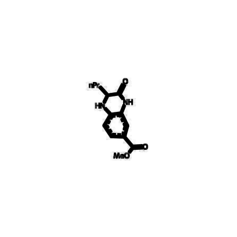 CCCC1Nc2ccc(C(=O)OC)cc2NC1=O